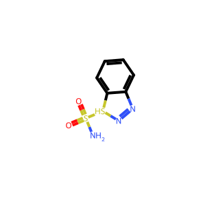 NS(=O)(=O)[SH]1N=Nc2ccccc21